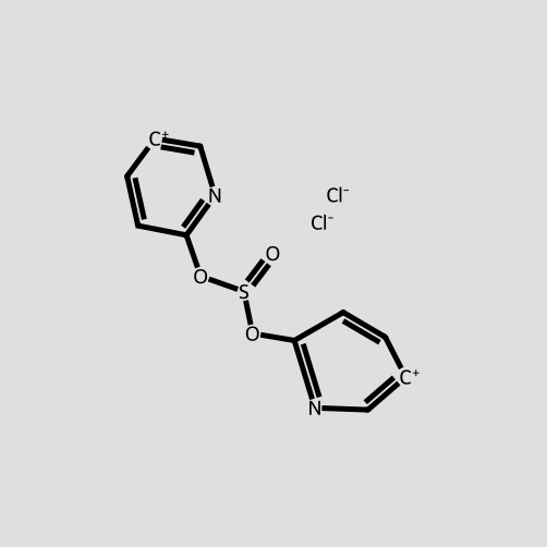 O=S(OC1=NC=[C+]C=C1)OC1=NC=[C+]C=C1.[Cl-].[Cl-]